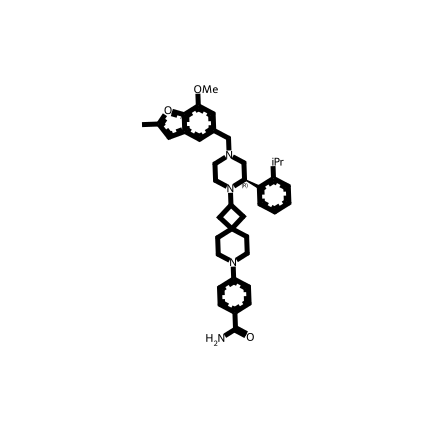 COc1cc(CN2CCN(C3CC4(CCN(c5ccc(C(N)=O)cc5)CC4)C3)[C@H](c3ccccc3C(C)C)C2)cc2cc(C)oc12